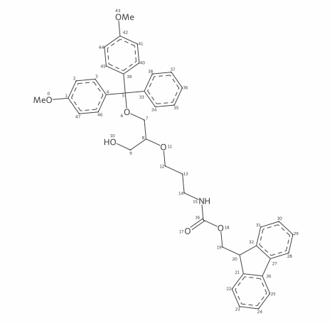 COc1ccc(C(OCC(CO)OCCCNC(=O)OCC2c3ccccc3-c3ccccc32)(c2ccccc2)c2ccc(OC)cc2)cc1